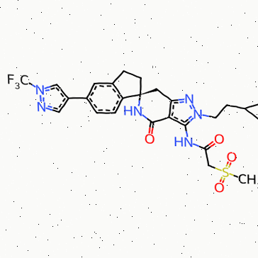 CS(=O)(=O)CC(=O)Nc1c2c(nn1CCC1CC1)C[C@@]1(CCc3cc(-c4cnn(C(F)(F)F)c4)ccc31)NC2=O